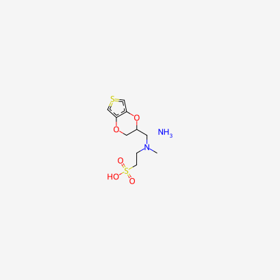 CN(CCS(=O)(=O)O)CC1COc2cscc2O1.N